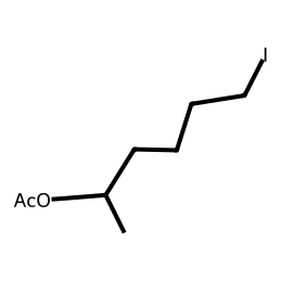 CC(=O)OC(C)CCCCI